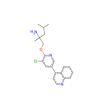 CC(C)CC(C)(N)COc1ncc(-c2ccnc3ccccc23)cc1Cl